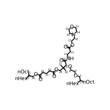 CCCCCCCCC(CCCCCC)COCCO[C@@H](C(=O)NCCC(=O)OCCN1CCOCC1)C(C)(C)COC(=O)CCCC(=O)OCC(CCCCCC)CCCCCCCC